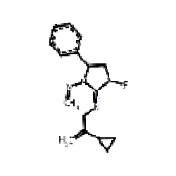 C=NN1/C(=N\CC(=C)C2CC2)C(F)CC1c1ccccc1